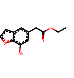 CCOC(=O)Cc1cc(O)c2occc2c1